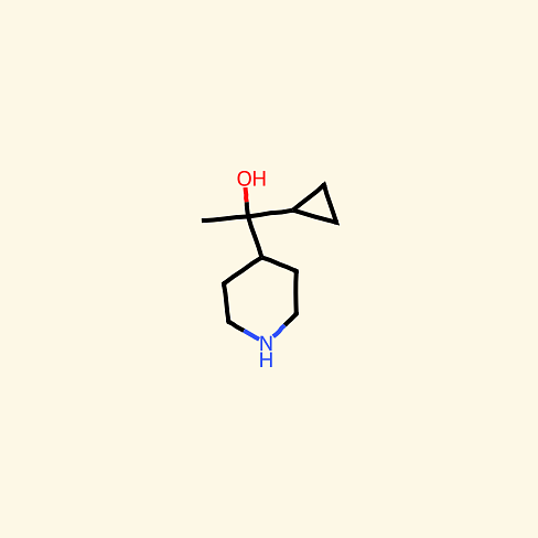 CC(O)(C1CCNCC1)C1CC1